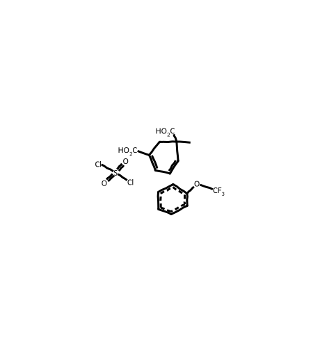 CC1(C(=O)O)C=CC=C(C(=O)O)C1.FC(F)(F)Oc1ccccc1.O=S(=O)(Cl)Cl